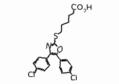 O=C(O)CCCCCSc1nc(-c2ccc(Cl)cc2)c(-c2ccc(Cl)cc2)o1